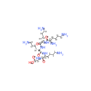 NCCCC[C@H](NC(=O)[C@H](CCCCN)NC(=O)[C@H](CCCCN)NC(=O)[C@@H](N)CCCCN)C(=O)NCC(=O)O